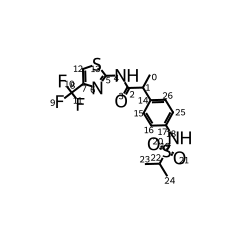 CC(C(=O)Nc1nc(C(F)(F)F)cs1)c1ccc(NS(=O)(=O)C(C)C)cc1